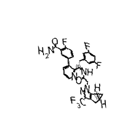 NC(=O)c1cc(-c2cccnc2[C@H](Cc2cc(F)cc(F)c2)NC(=O)Cn2nc(C(F)(F)F)c3c2[C@H]2C[C@H]2C3)ccc1F